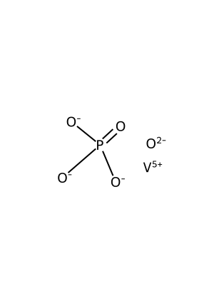 O=P([O-])([O-])[O-].[O-2].[V+5]